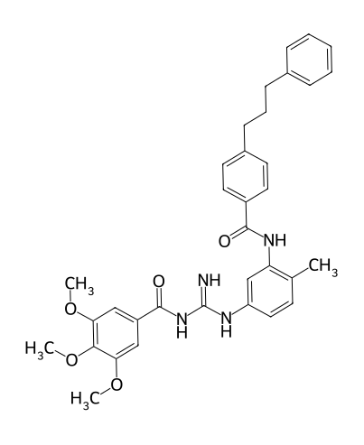 COc1cc(C(=O)NC(=N)Nc2ccc(C)c(NC(=O)c3ccc(CCCc4ccccc4)cc3)c2)cc(OC)c1OC